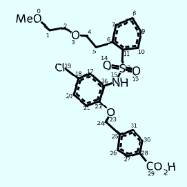 COCCOCCc1ccccc1S(=O)(=O)Nc1cc(Cl)ccc1OCc1ccc(C(=O)O)cc1